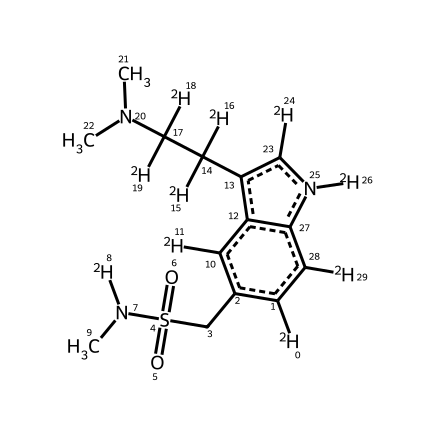 [2H]c1c(CS(=O)(=O)N([2H])C)c([2H])c2c(C([2H])([2H])C([2H])([2H])N(C)C)c([2H])n([2H])c2c1[2H]